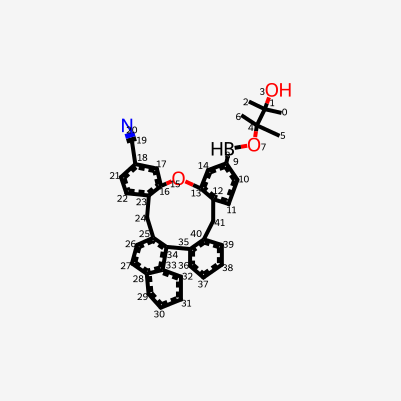 CC(C)(O)C(C)(C)OBc1ccc2c(c1)Oc1cc(C#N)ccc1Cc1ccc3ccccc3c1-c1ccccc1C2